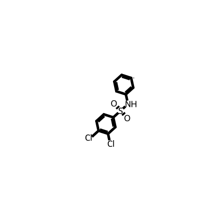 O=S(=O)(Nc1c[c]ccc1)c1ccc(Cl)c(Cl)c1